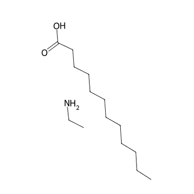 CCCCCCCCCCCC(=O)O.CCN